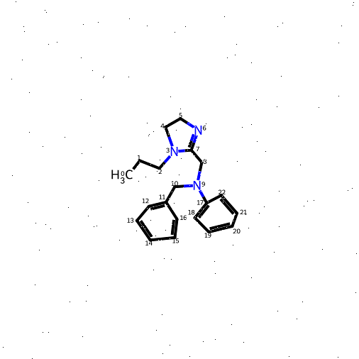 CCCN1CCN=C1CN(Cc1ccccc1)c1ccccc1